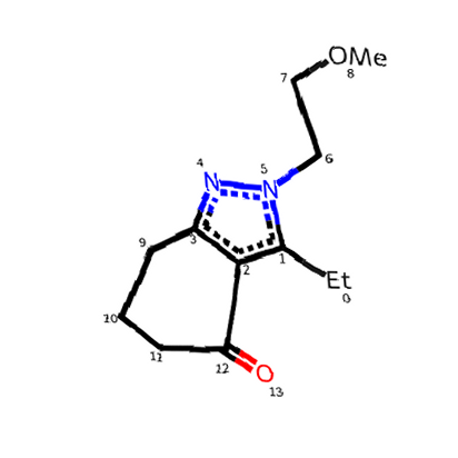 CCc1c2c(nn1CCOC)CCCC2=O